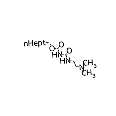 CCCCCCCCOC(=O)NC(=O)NCCN(C)C